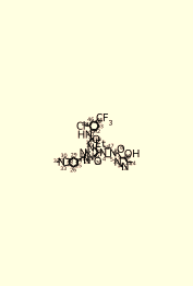 CCc1c(N2CCN(C(=O)c3ncnc(C)c3O)CC2)c(=O)n2nc(-c3ccc4c(c3)CN(C)C4)nc2n1CC(=O)Nc1ccc(C(F)(F)F)cc1Cl